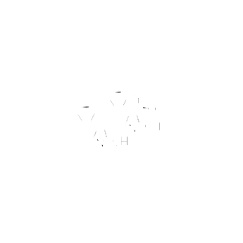 Cc1c(C(=O)C(C)C)c(-c2ccccc2)c2n1CCC2.Cc1cc(-c2ccccc2)c2n1CCC2